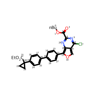 CCCCOC(=O)c1nc(Cl)c2coc(-c3ccc(-c4ccc(C5(C(=O)OCC)CC5)cc4)cc3)c2n1